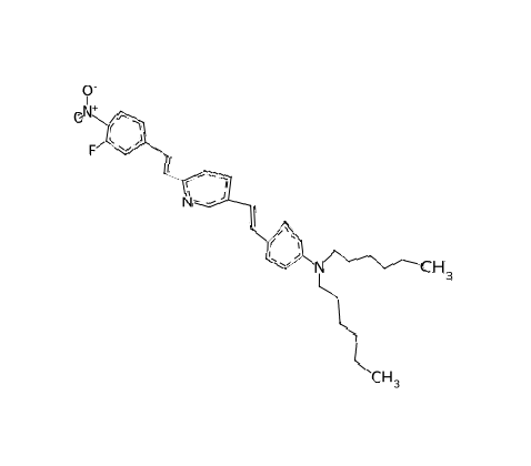 CCCCCCN(CCCCCC)c1ccc(C=Cc2ccc(C=Cc3ccc([N+](=O)[O-])c(F)c3)nc2)cc1